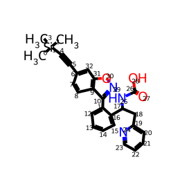 C[Si](C)(C)C#Cc1ccc2c(-c3ccccc3C(Cc3ccccn3)NC(=O)O)noc2c1